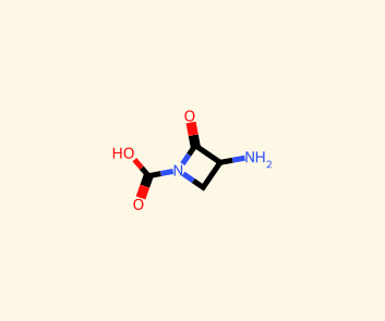 NC1CN(C(=O)O)C1=O